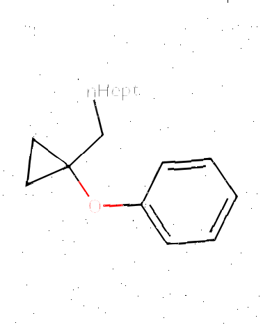 CCCCCCCCC1(Oc2ccccc2)CC1